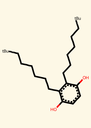 CC(C)(C)CCCCCCc1c(O)ccc(O)c1CCCCCCC(C)(C)C